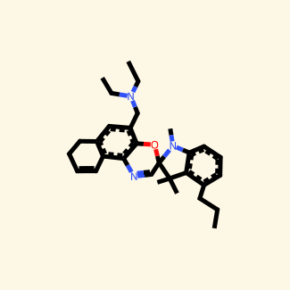 CCCc1cccc2c1C(C)(C)C1(C=Nc3c4c(cc(CN(CC)CC)c3O1)CCC=C4)N2C